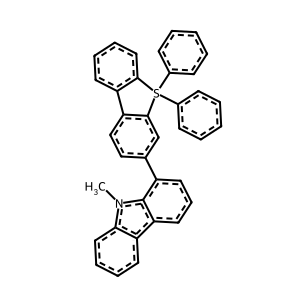 Cn1c2ccccc2c2cccc(-c3ccc4c(c3)S(c3ccccc3)(c3ccccc3)c3ccccc3-4)c21